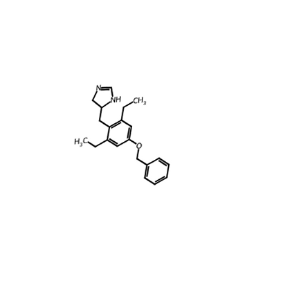 CCc1cc(OCc2ccccc2)cc(CC)c1CC1CN=CN1